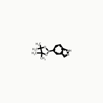 CC1(C)OB(c2ccc3[nH]ncc3c2)OC1(C)C